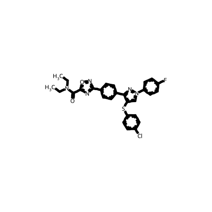 CCN(CC)C(=O)c1nc(-c2ccc(-c3nn(-c4ccc(F)cc4)cc3Sc3ccc(Cl)cc3)cc2)no1